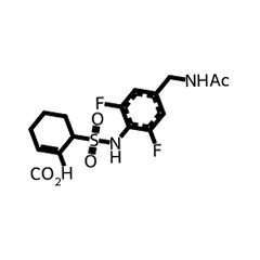 CC(=O)NCc1cc(F)c(NS(=O)(=O)C2CCCC=C2C(=O)O)c(F)c1